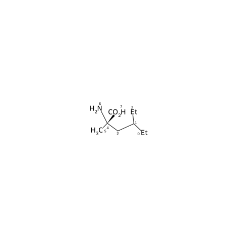 CCC(CC)C[C@](C)(N)C(=O)O